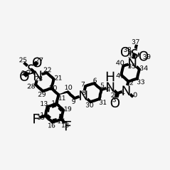 CN(C(=O)NC1CCN(CC[C@@H](c2cc(F)cc(F)c2)C2CCN(S(C)(=O)=O)CC2)CC1)C1CCN(S(C)(=O)=O)CC1